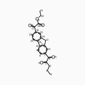 CCCC(=O)C(=O)c1ccc2c(c1)Cc1cc(C(=O)C(=O)OCC)ccc1-2